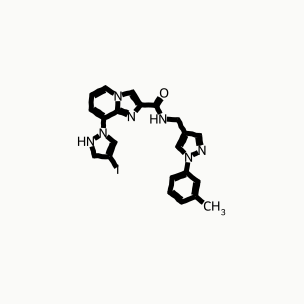 Cc1cccc(-n2cc(CNC(=O)c3cn4cccc(N5C=C(I)CN5)c4n3)cn2)c1